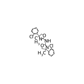 CC1(c2ccccc2Cl)COC(NC2=NC(C)(c3ccccc3Cl)CO2)=N1